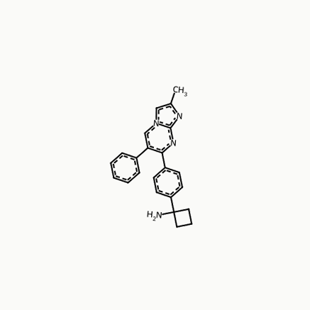 Cc1cn2cc(-c3ccccc3)c(-c3ccc(C4(N)CCC4)cc3)nc2n1